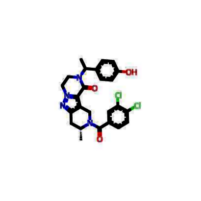 CC(c1ccc(O)cc1)N1CCn2nc3c(c2C1=O)CN(C(=O)c1ccc(Cl)c(Cl)c1)[C@H](C)C3